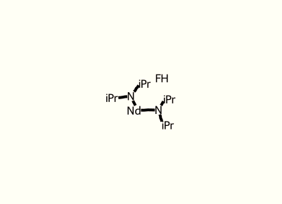 CC(C)[N]([Nd][N](C(C)C)C(C)C)C(C)C.F